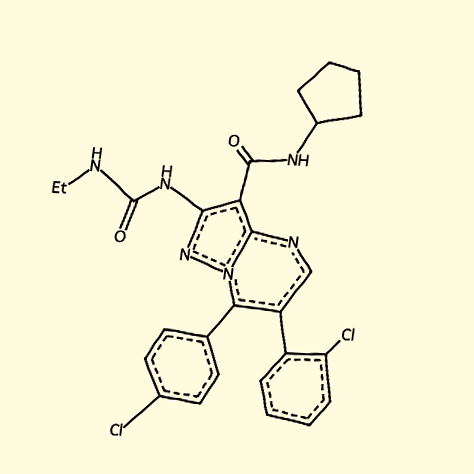 CCNC(=O)Nc1nn2c(-c3ccc(Cl)cc3)c(-c3ccccc3Cl)cnc2c1C(=O)NC1CCCC1